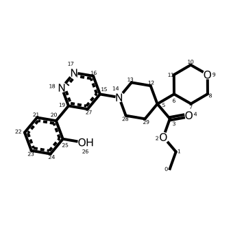 CCOC(=O)C1(C2CCOCC2)CCN(c2cnnc(-c3ccccc3O)c2)CC1